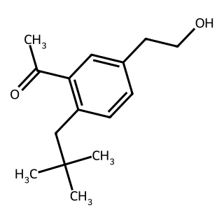 CC(=O)c1cc(CCO)ccc1CC(C)(C)C